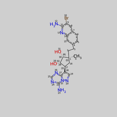 C[C@]1(CCc2ccc3cc(Br)c(N)nc3c2)C[C@@H](c2cnn3c(N)ncnc23)[C@H](O)[C@@H]1O